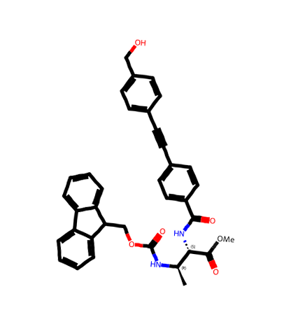 COC(=O)[C@@H](NC(=O)c1ccc(C#Cc2ccc(CO)cc2)cc1)[C@@H](C)NC(=O)OCC1c2ccccc2-c2ccccc21